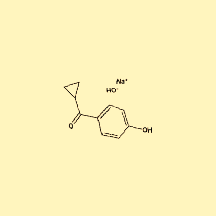 O=C(c1ccc(O)cc1)C1CC1.[Na+].[OH-]